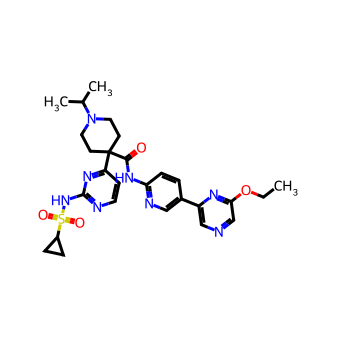 CCOc1cncc(-c2ccc(NC(=O)C3(c4ccnc(NS(=O)(=O)C5CC5)n4)CCN(C(C)C)CC3)nc2)n1